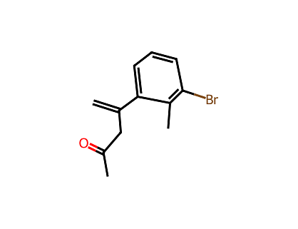 C=C(CC(C)=O)c1cccc(Br)c1C